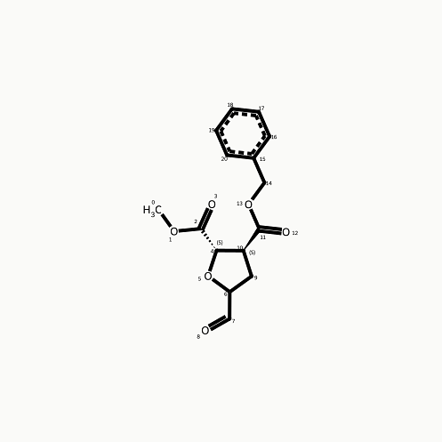 COC(=O)[C@H]1OC(C=O)C[C@@H]1C(=O)OCc1ccccc1